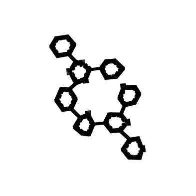 c1ccc(-c2nc(-c3ccccc3)nc(-c3cccc(-c4cccc(-c5cc(-c6cccnc6)nc(-c6cccnc6)c5)n4)c3)n2)cc1